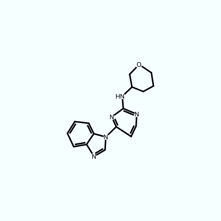 c1ccc2c(c1)ncn2-c1ccnc(NC2CCCOC2)n1